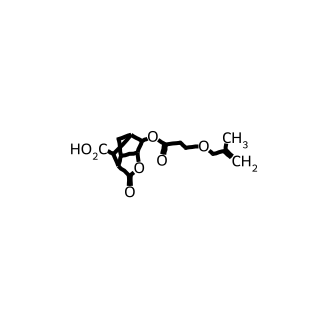 C=C(C)COCCC(=O)OC1C2CC3C1OC(=O)C3C2C(=O)O